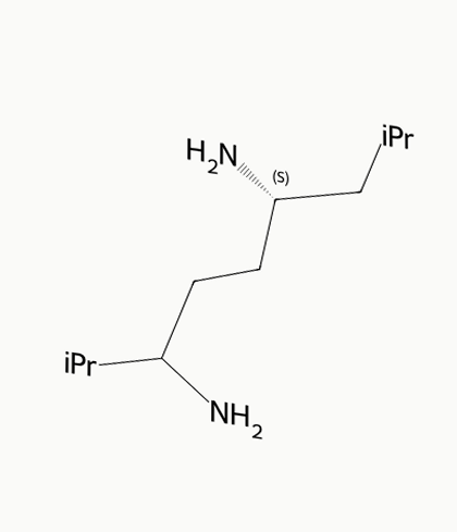 CC(C)C[C@@H](N)CCC(N)C(C)C